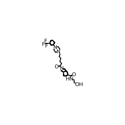 O=C(NCCO)c1ccc2cn(C(=O)CCCCCN3CCN(c4cccc(C(F)(F)F)c4)CC3)cc2c1